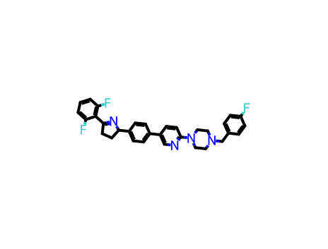 Fc1ccc(CN2CCN(c3ccc(-c4ccc(C5CCC(c6c(F)cccc6F)=N5)cc4)cn3)CC2)cc1